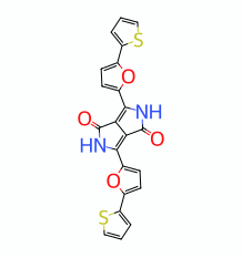 O=C1NC(c2ccc(-c3cccs3)o2)=C2C(=O)NC(c3ccc(-c4cccs4)o3)=C12